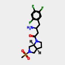 CS(=O)(=O)N1C[C@@H]2CCN(C(=O)CC(N)Cc3cc(F)c(F)cc3F)[C@@H]2C1